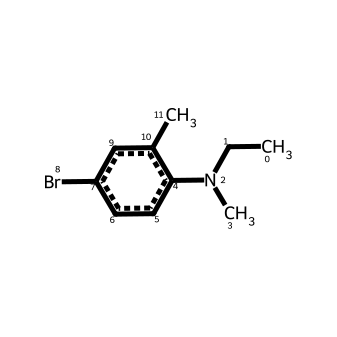 CCN(C)c1ccc(Br)cc1C